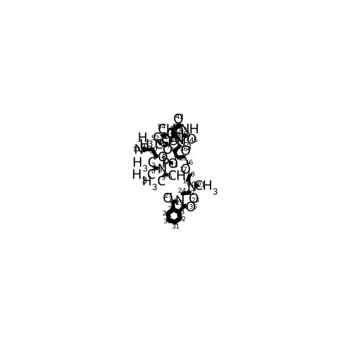 CC(C)N(C(C)C)P(OCCC#N)OC1[C@@H](COCCN(C)C(=O)CN2C(=O)c3ccccc3C2=O)O[C@@H](n2ccc(=O)[nH]c2=O)[C@H]1O[Si](C)(C)C(C)(C)C